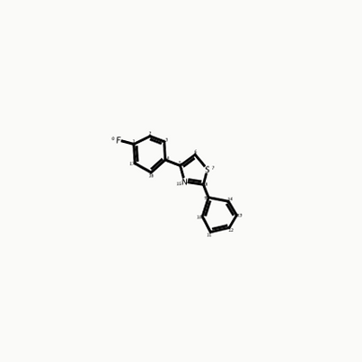 Fc1ccc(-c2csc(-c3ccccc3)n2)cc1